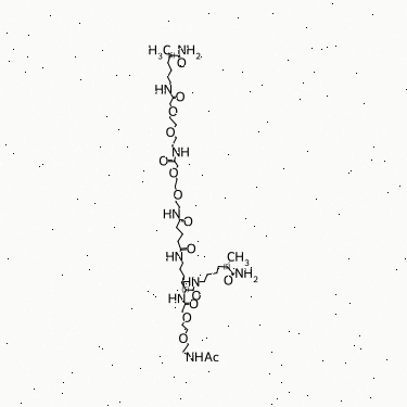 CC(=O)NCCOCCOCC(=O)N[C@@H](CCCCNC(=O)CCCC(=O)NCCOCCOCC(=O)NCCOCCOCC(=O)NCCCC[C@H](C)C(N)=O)C(=O)NCCCC[C@H](C)C(N)=O